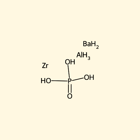 O=P(O)(O)O.[AlH3].[BaH2].[Zr]